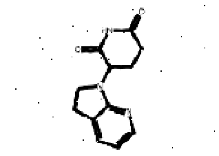 O=C1CCC(N2CCc3cccnc32)C(=O)N1